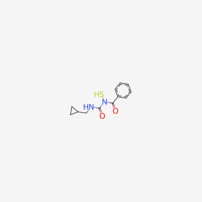 O=C(NCC1CC1)N(S)C(=O)c1ccccc1